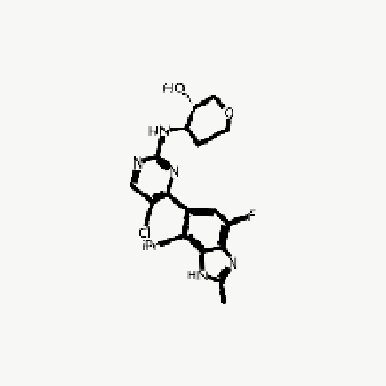 Cc1nc2c(F)cc(-c3nc(N[C@@H]4CCOC[C@H]4O)ncc3Cl)c(C(C)C)c2[nH]1